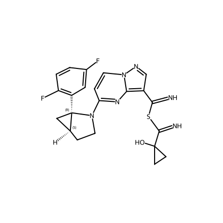 N=C(SC(=N)C1(O)CC1)c1cnn2ccc(N3CC[C@H]4C[C@]43c3cc(F)ccc3F)nc12